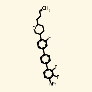 C=CCCC1CCC(c2ccc(-c3ccc(-c4ccc(CCC)c(F)c4F)cc3)cc2F)CO1